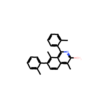 Bc1nc(-c2ccccc2C)c2c(C)c(-c3ccccc3C)ccc2c1C